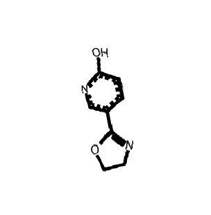 Oc1ccc(C2=NCCO2)cn1